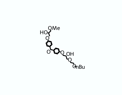 CCCCOCCOCC(O)COc1ccc(C(=O)c2ccc(OCC(O)COC)cc2)cc1